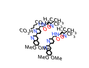 COc1cc2cc(-c3ccc(CC(=O)Nc4cc(C(C)(C)C(F)(F)F)no4)cn3)cnc2cc1OC.COc1cc2cc(-c3ccc(CC(=O)Nc4cc(C(C)(C)C(F)(F)F)no4)cn3)cnc2cc1OC.O=C(O)CCCCC(=O)O